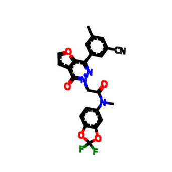 Cc1cc(C#N)cc(-c2nn(CC(=O)N(C)c3ccc4c(c3)OC(F)(F)O4)c(=O)c3ccoc23)c1